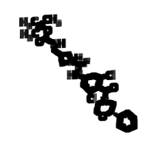 CC(C)(C)OC(=O)NCC1CN([SH](F)Nc2cc(Cl)c(C(=O)N3CCO[C@@H](c4ccccc4)C3)c(Cl)c2)C1